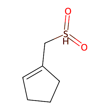 O=[SH](=O)CC1=CCCC1